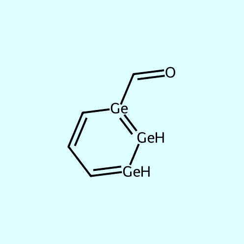 O=[CH][Ge]1=[GeH][GeH]=[CH]C=[CH]1